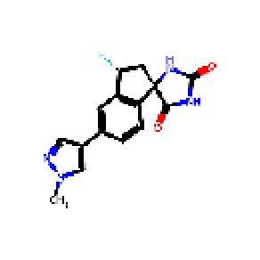 Cn1cc(-c2ccc3c(c2)[C@H](F)C[C@]32NC(=O)NC2=O)cn1